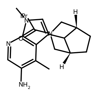 Cc1c(N)cnc2c1c(C1[C@@H]3CC[C@H]1CN(C(=O)C(C)C)C3)cn2C